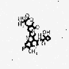 CC[C@]1(O)Cc2cc3n(c(=O)c2COC1=O)Cc1c-3nc2cc(F)c(C)c3c2c1[C@@H](NC(=O)C1(CO)CCC1)CS3